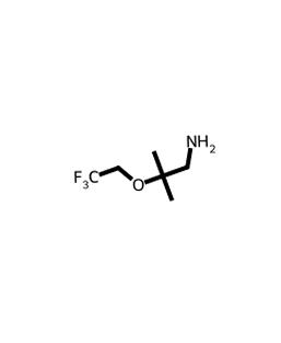 CC(C)(CN)OCC(F)(F)F